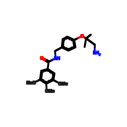 COc1cc(C(=O)NCc2ccc(OC(C)(C)CN)cc2)cc(OC)c1OC